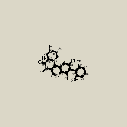 C[C@@H]1CN2c3c(cnc4c(F)c(-c5c(O)cccc5F)c(Cl)cc34)N(C)C(=O)[C@H]2CN1